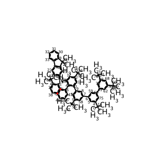 CC(C)(C)c1cc(-c2cc(-c3cc(C(C)(C)C)cc(N(c4ccc5c(c4)C(C)(C)c4ccccc4-5)c4ccccc4C(C)(C)C)c3-c3ccccc3)cc(C(C)(C)C)c2)cc(-c2cc(C(C)(C)C)cc(C(C)(C)C)c2)c1